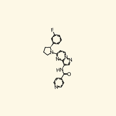 O=C(Nc1cnn2ccc(N3CCC[C@H]3c3cccc(F)c3)nc12)c1ccncc1